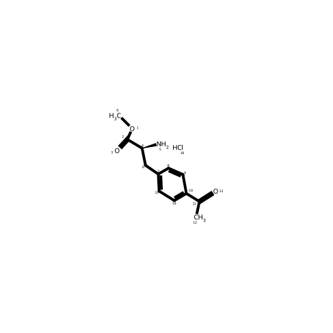 COC(=O)[C@@H](N)Cc1ccc(C(C)=O)cc1.Cl